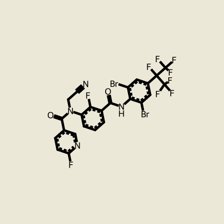 N#CCN(C(=O)c1ccc(F)nc1)c1cccc(C(=O)Nc2c(Br)cc(C(F)(C(F)(F)F)C(F)(F)F)cc2Br)c1F